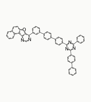 c1ccc(-c2ccc(-c3nc(-c4ccccc4)nc(-c4ccc(-c5ccc(-c6cccc(-c7ncnc8c7oc7ccc9ccccc9c78)c6)cc5)cc4)n3)cc2)cc1